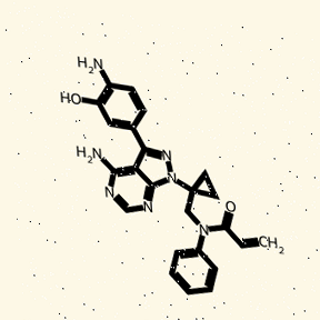 C=CC(=O)N(CC1(n2nc(-c3ccc(N)c(O)c3)c3c(N)ncnc32)CC1)c1ccccc1